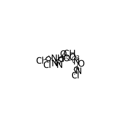 COc1cc2c(Nc3ccc(Cl)c(Cl)c3)ncnc2cc1OCC1CN(C(=O)c2ccc(Cl)nc2)CCO1